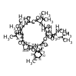 CC[C@H](C)[C@H]1NC(=O)[C@@H](NC(=O)[C@@H](CC(C)C)NC)[C@@H](C)OC(=O)[C@H](Cc2ccc(C)cc2)N(C)C(=O)[C@@H]2CCCN2C(=O)[C@H](CC(C)C)NC(=O)[C@H](C(C)C)NC(=O)C[C@@H]1O